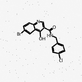 O=C(NCc1ccc(Cl)cc1)c1cnc2ccc(Br)cc2c1O